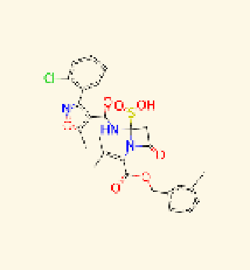 CC(C)=C(C(=O)OCc1cccc(C)c1)N1C(=O)CC1(NC(=O)c1c(-c2ccccc2Cl)noc1C)S(=O)O